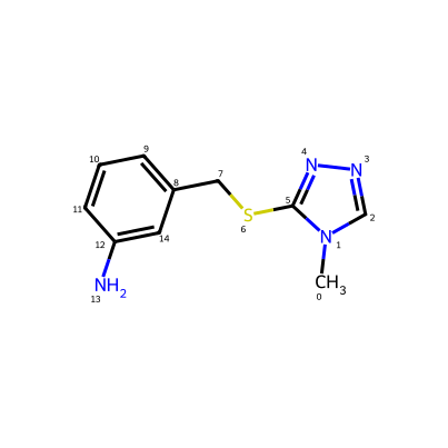 Cn1cnnc1SCc1cccc(N)c1